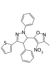 Cc1noc(C2C(c3ccccc3)C(c3cccs3)=NN2c2ccccc2)c1[N+](=O)[O-]